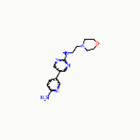 Nc1ccc(-c2cnc(NCCN3CCOCC3)nc2)cn1